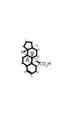 C[C@@]12CCC[C@H]1[C@@H]1CCC3C=CCC[C@]3(CC(=O)O)[C@H]1CC2